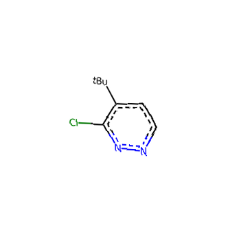 CC(C)(C)c1ccnnc1Cl